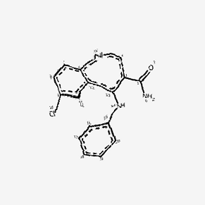 NC(=O)c1cnc2ccc(Cl)cc2c1Nc1ccccc1